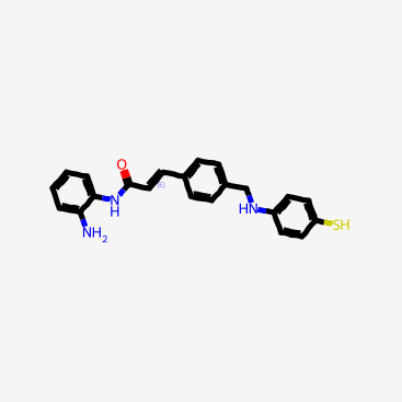 Nc1ccccc1NC(=O)/C=C/c1ccc(CNc2ccc(S)cc2)cc1